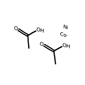 CC(=O)O.CC(=O)O.[Co].[Ni]